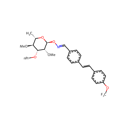 CCCO[C@@H]1[C@@H](OC)[C@H](C)O[C@@H](O/N=C/c2ccc(/C=C/c3ccc(OC(F)(F)F)cc3)cc2)[C@@H]1OC